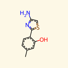 Cc1ccc(-c2nc(N)cs2)c(O)c1